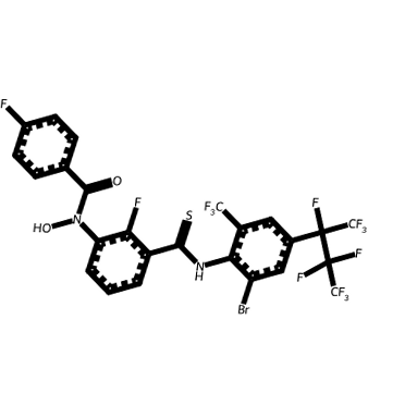 O=C(c1ccc(F)cc1)N(O)c1cccc(C(=S)Nc2c(Br)cc(C(F)(C(F)(F)F)C(F)(F)C(F)(F)F)cc2C(F)(F)F)c1F